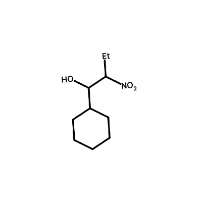 CCC(C(O)C1CCCCC1)[N+](=O)[O-]